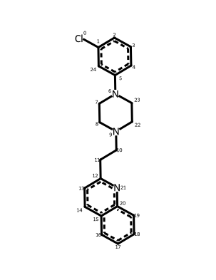 Clc1cccc(N2CCN(CCc3ccc4ccccc4n3)CC2)c1